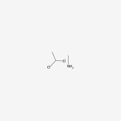 CC(Cl)Cl.CN